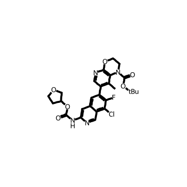 Cc1c(-c2cc3cc(NC(=O)OC4CCOC4)ncc3c(Cl)c2F)cnc2c1N(C(=O)OC(C)(C)C)CCO2